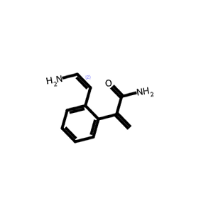 C=C(C(N)=O)c1ccccc1/C=C\N